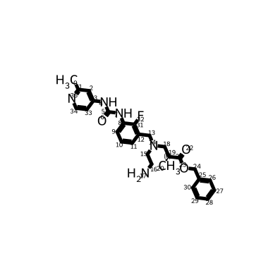 Cc1cc(NC(=O)Nc2cccc(CN(CCN)C[C@@H](C)C(=O)OCc3ccccc3)c2F)ccn1